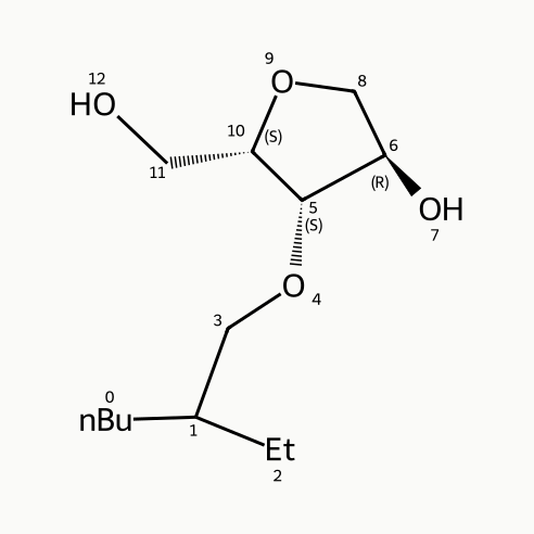 CCCCC(CC)CO[C@H]1[C@H](O)CO[C@H]1CO